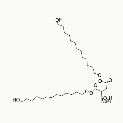 O=C(CC(C(=O)OOCCCCCCCCCCCCCO)S(=O)(=O)O)OOCCCCCCCCCCCCCO.[NaH]